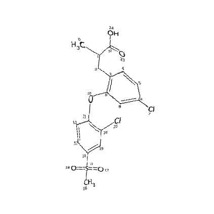 CC(Cc1ccc(Cl)cc1Oc1ccc(S(C)(=O)=O)cc1Cl)C(=O)O